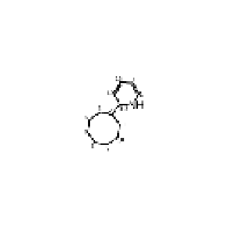 C1=CN[C](C2CCCCCCC2)C=C1